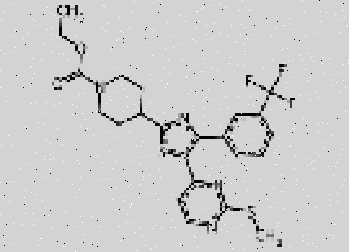 CCOC(=O)N1CCC(c2nc(-c3cccc(C(F)(F)F)c3)c(-c3ccnc(SC)n3)s2)CC1